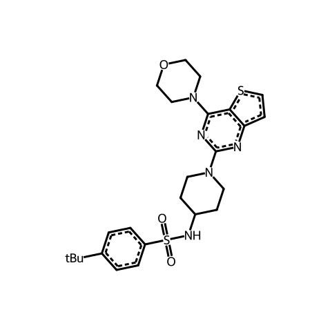 CC(C)(C)c1ccc(S(=O)(=O)NC2CCN(c3nc(N4CCOCC4)c4sccc4n3)CC2)cc1